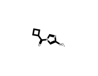 O=C(C1CCC1)n1cnc([N+](=O)[O-])c1